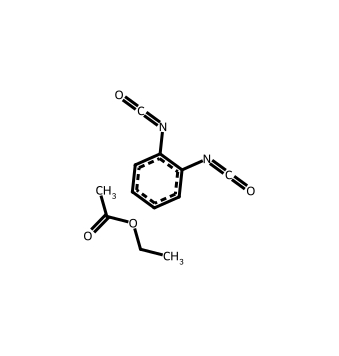 CCOC(C)=O.O=C=Nc1ccccc1N=C=O